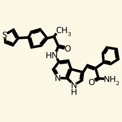 CC(C(=O)Nc1cnc2[nH]cc(C=C(C(N)=O)c3ccccc3)c2c1)c1ccc(-c2ccsc2)cc1